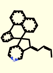 C/C=C\C=C1/CC2(c3ccncc31)c1ccccc1-c1cccc3cccc2c13